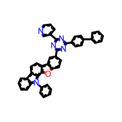 c1ccc(-c2ccc(-c3nc(-c4cccnc4)nc(-c4ccc5oc6c(ccc7c8ccccc8n(-c8ccccc8)c76)c5c4)n3)cc2)cc1